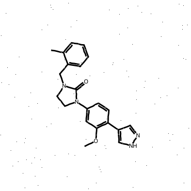 COc1cc(N2CCN(Cc3ccccc3C)C2=O)ccc1-c1cn[nH]c1